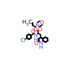 CC=CC(OC(=O)C(Cc1cc(=O)[nH]c2ccccc12)NC(=O)c1ccc(Cl)cc1)N1CCOCC1